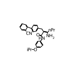 CCC/C(N)=C(\Cc1ccc(-c2ccccc2C#N)cc1)C(=O)Nc1ccc(OC(C)C)cc1